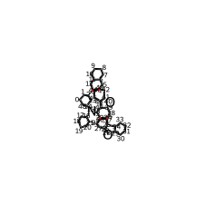 c1cc(-c2ccc3ccccc3c2)cc(N(c2ccccc2-c2ccc3c(c2)oc2ccccc23)c2cccc3oc4ccccc4c23)c1